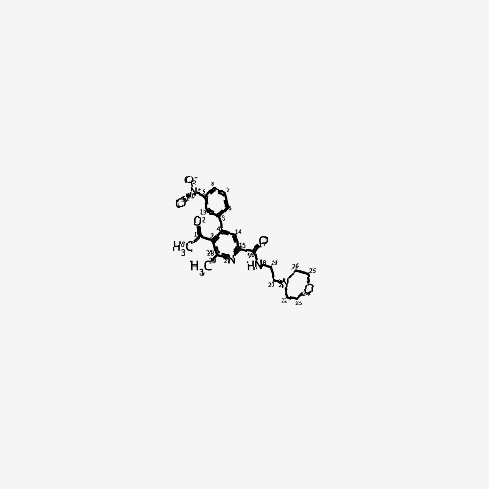 CC(=O)c1c(-c2cccc([N+](=O)[O-])c2)cc(C(=O)NCCN2CCOCC2)nc1C